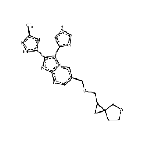 FC(F)(F)c1n[nH]c(-c2nc3ncc(COCC4CC45CCOC5)cn3c2-c2c[nH]cn2)n1